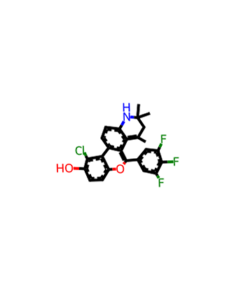 CC1=c2c(ccc3c2=C(c2cc(F)c(F)c(F)c2)Oc2ccc(O)c(Cl)c2-3)NC(C)(C)C1